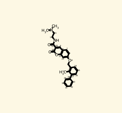 Cc1c(COc2ccc3cc(C(=O)NCCN(C)C)c(=O)oc3c2)cccc1-c1ccccc1